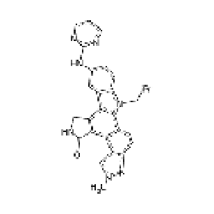 CC(C)Cn1c2ccc(Nc3ncccn3)cc2c2c3c(c4c5cn(C)nc5ccc4c21)C(=O)NC3